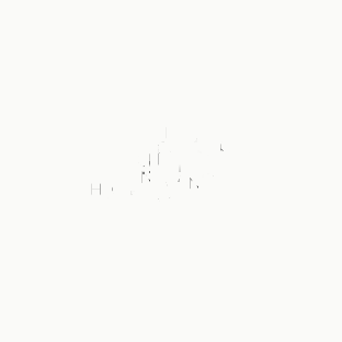 Cc1cnc(C2SCC(C)N2C)c(C)c1